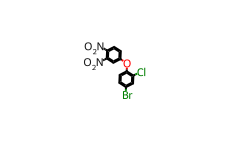 O=[N+]([O-])c1ccc(Oc2ccc(Br)cc2Cl)cc1[N+](=O)[O-]